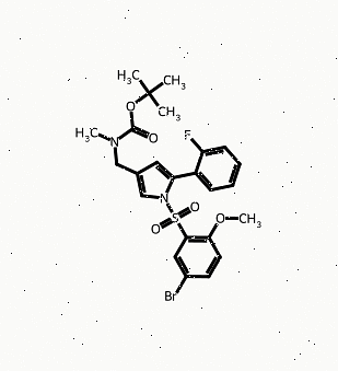 COc1ccc(Br)cc1S(=O)(=O)n1cc(CN(C)C(=O)OC(C)(C)C)cc1-c1ccccc1F